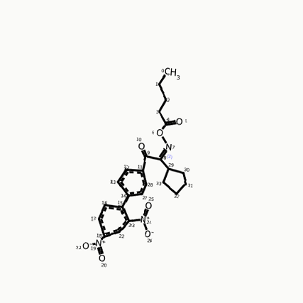 CCCCC(=O)O/N=C(\C(=O)c1ccc(-c2ccc([N+](=O)[O-])cc2[N+](=O)[O-])cc1)C1CCCC1